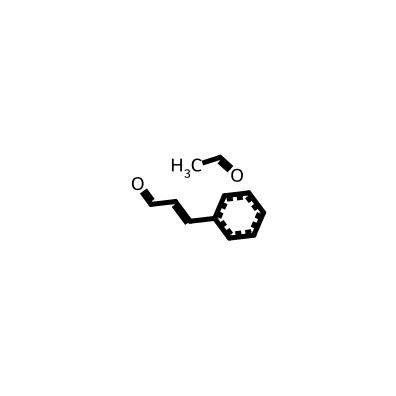 CC=O.O=CC=Cc1ccccc1